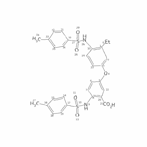 CCc1cc(Oc2ccc(NS(=O)(=O)c3ccc(C)cc3)c(C(=O)O)c2)ccc1NS(=O)(=O)c1ccc(C)cc1